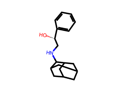 O[C@@H](CNC1C2CC3CC(C2)CC1C3)c1ccccc1